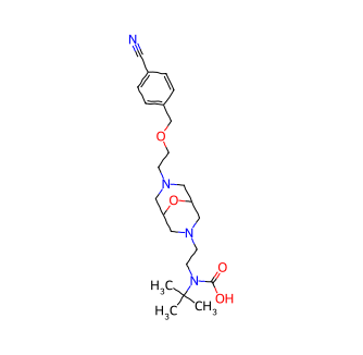 CC(C)(C)N(CCN1CC2CN(CCOCc3ccc(C#N)cc3)CC(C1)O2)C(=O)O